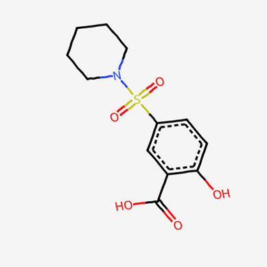 O=C(O)c1cc(S(=O)(=O)N2CCCCC2)ccc1O